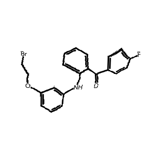 O=C(c1ccc(F)cc1)c1ccccc1Nc1[c]c(OCCBr)ccc1